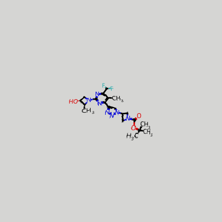 Cc1c(-c2cn(C3CN(C(=O)OC(C)(C)C)C3)nn2)nc(N2C[C@@H](O)[C@@H]2C)nc1C(F)F